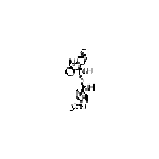 CCOC(=O)c1cnc(NCCCNc2c3c(nc4cc(Cl)ccc24)CCCC3)cn1